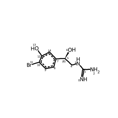 N=C(N)NC[C@H](O)c1ccc(Br)c(O)c1